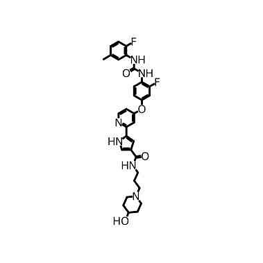 Cc1ccc(F)c(NC(=O)Nc2ccc(Oc3ccnc(-c4cc(C(=O)NCCCN5CCC(O)CC5)c[nH]4)c3)cc2F)c1